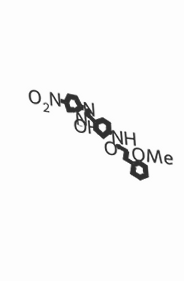 COc1ccccc1/C=C/C(=O)Nc1ccc(-c2nc3ccc([N+](=O)[O-])cc3n2O)cc1